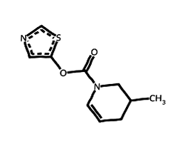 CC1CC=CN(C(=O)Oc2cncs2)C1